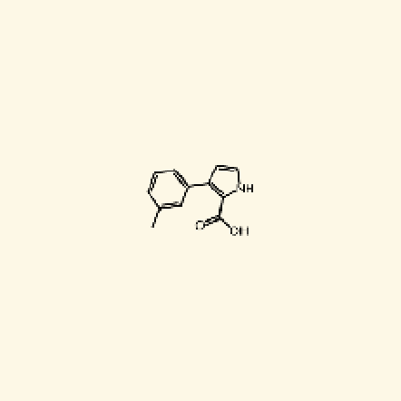 Cc1cccc(-c2cc[nH]c2C(=O)O)c1